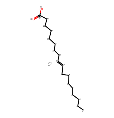 CCCCCCCCC=CCCCCCCCC(=O)O.[Pd]